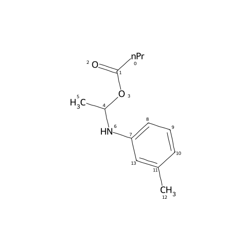 CCCC(=O)OC(C)Nc1cccc(C)c1